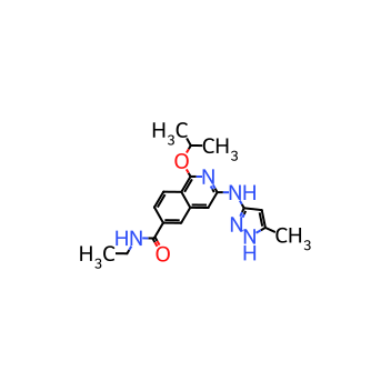 CCNC(=O)c1ccc2c(OC(C)C)nc(Nc3cc(C)[nH]n3)cc2c1